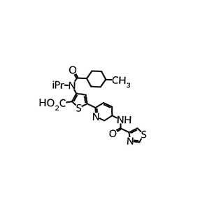 CC1CCC(C(=O)N(c2cc(C3=NCC(NC(=O)c4cscn4)C=C3)sc2C(=O)O)C(C)C)CC1